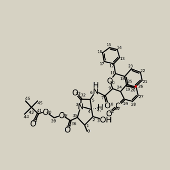 CC1C(O)[C@@H]2C(NC(=O)C(OC(c3ccccc3)c3ccccc3)C3C=CC=CC3=C=O)C(=O)N2C1C(=O)OCOC(=O)C(C)(C)C